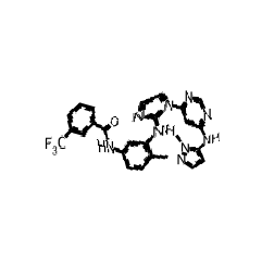 Cc1ccc(NC(=O)c2cccc(C(F)(F)F)c2)cc1Nc1nccn1-c1cc(Nc2ccnn2C)ncn1